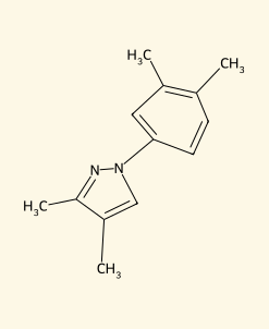 Cc1ccc(-n2cc(C)c(C)n2)cc1C